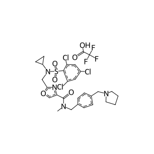 CN(Cc1ccc(CN2CCCC2)cc1)C(=O)c1coc(CN(C2CC2)S(=O)(=O)c2c(Cl)cc(Cl)cc2Cl)n1.O=C(O)C(F)(F)F